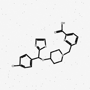 O=C(O)c1cccc(CN2CCC(OC(c3ccc(Cl)cc3)c3nccs3)CC2)n1